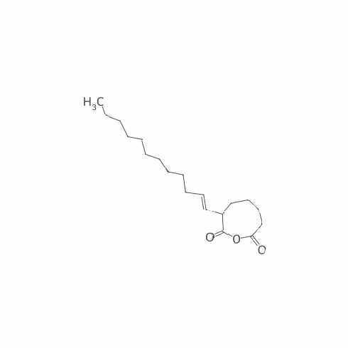 CCCCCCCCCCC=CC1CCCCC(=O)OC1=O